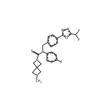 CN1CC2(C1)CN(C(=S)N(Cc1ccc(-c3nnc(C(F)F)o3)cc1)c1ccc(F)cc1)C2